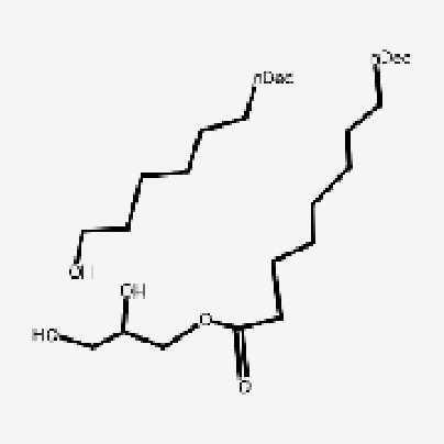 CCCCCCCCCCCCCCCCCC(=O)OCC(O)CO.CCCCCCCCCCCCCCCCO